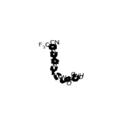 N#Cc1ccc(N2CCC(c3ccc(N4CCC(CN5CCN(c6ccc7c(n6)CN(C6CCC(=O)NC6=O)C7=O)CC5)CC4)cc3)CC2)cc1C(F)(F)F